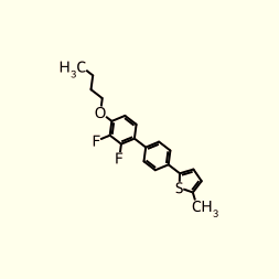 CCCCOc1ccc(-c2ccc(-c3ccc(C)s3)cc2)c(F)c1F